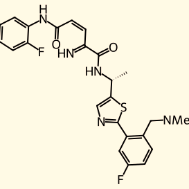 CNCc1ccc(F)cc1-c1ncc([C@@H](C)NC(=O)C(=N)/C=C\C(=O)Nc2ccccc2F)s1